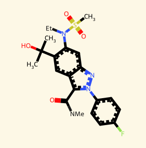 CCN(c1cc2nn(-c3ccc(F)cc3)c(C(=O)NC)c2cc1C(C)(C)O)S(C)(=O)=O